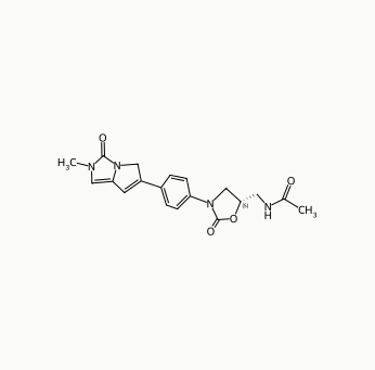 CC(=O)NC[C@H]1CN(c2ccc(C3=Cc4cn(C)c(=O)n4C3)cc2)C(=O)O1